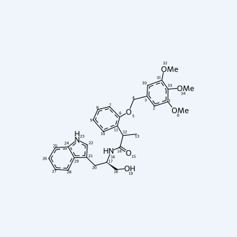 COc1cc(COc2ccccc2C(C)C(=O)N[C@@H](CO)Cc2c[nH]c3ccccc23)cc(OC)c1OC